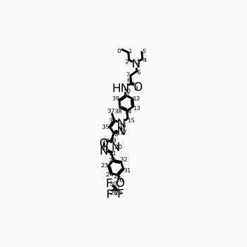 CCCN(CC)CCC(=O)Nc1ccc(Cn2nc(-c3nc(-c4ccc(OC(F)(F)F)cc4)no3)cc2C)cc1